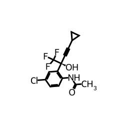 CC(=O)Nc1ccc(Cl)cc1[C@@](O)(C#CC1CC1)C(F)(F)F